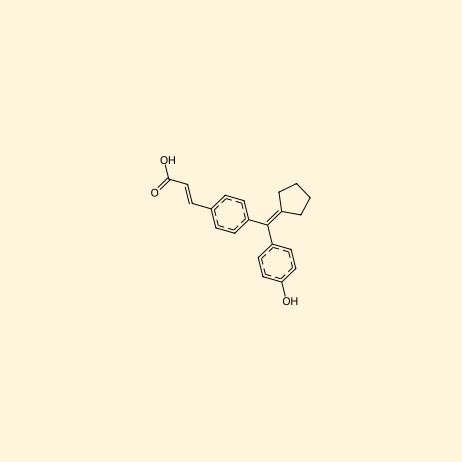 O=C(O)C=Cc1ccc(C(=C2CCCC2)c2ccc(O)cc2)cc1